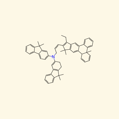 CCC1=C(/C=C\CN(C2=CC3=C(CC2)C(C)(C)c2ccccc23)c2ccc3c(c2)C(C)(C)c2ccccc2-3)C(C)(C)c2cc3c(cc21)-c1ccccc1C1(C)C=CC=CC31